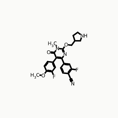 COc1ccc(-c2c(-c3ccc(C#N)c(F)c3)nc(OCC3CCNC3)n(C)c2=O)cc1F